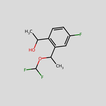 CC(O)c1ccc(F)cc1C(C)OC(F)F